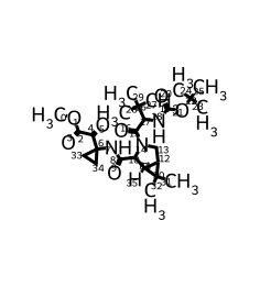 COC(=O)C(=O)C1(NC(=O)C2[C@@H]3C(CN2C(=O)C(NC(=O)OC(C)(C)C)C(C)(C)C)C3(C)C)CC1